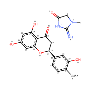 CN1CC(=O)NC1=N.COc1ccc([C@@H]2CC(=O)c3c(O)cc(O)cc3O2)cc1O